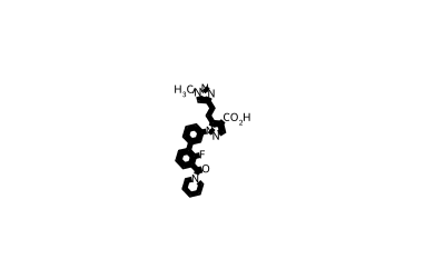 Cn1cc(CCc2c(C(=O)O)cnn2-c2cccc(-c3cccc(C(=O)N4CCCCC4)c3F)c2)nn1